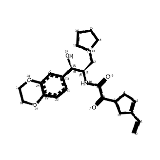 C=CC1=CCC(C(=O)C(=O)N[C@H](CN2CCCC2)[C@H](O)c2ccc3c(c2)OCCO3)C1